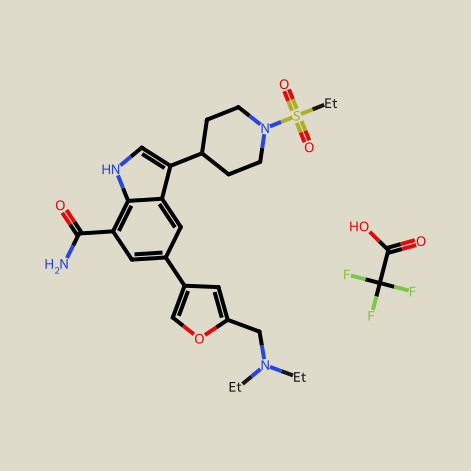 CCN(CC)Cc1cc(-c2cc(C(N)=O)c3[nH]cc(C4CCN(S(=O)(=O)CC)CC4)c3c2)co1.O=C(O)C(F)(F)F